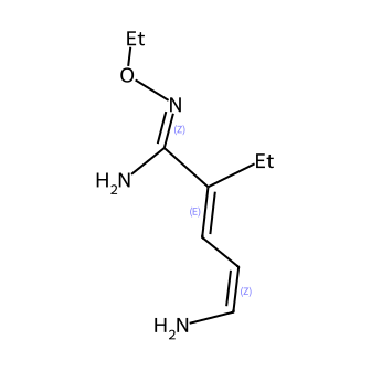 CCO/N=C(N)/C(=C/C=C\N)CC